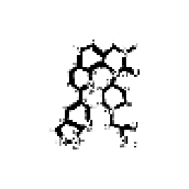 CN1Cc2cnc3ccc(-c4cnc5[nH]ncc5c4)nc3c2N(C2CCN(CC(N)=O)CC2)C1=O